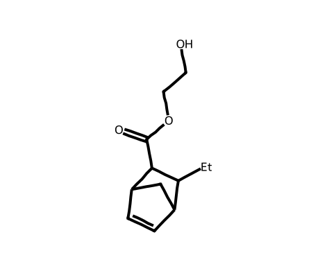 CCC1C2C=CC(C2)C1C(=O)OCCO